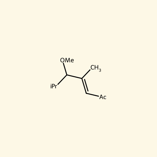 COC(/C(C)=C/C(C)=O)C(C)C